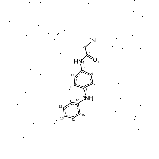 O=C(CS)Nc1ccc(Nc2ccccc2)cc1